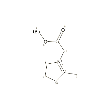 CC1=[N+](CC(=O)OC(C)(C)C)CCC1